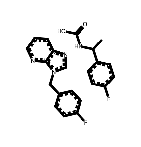 CC(NC(=O)O)c1ccc(F)cc1.Fc1ccc(Cn2cnc3cccnc32)cc1